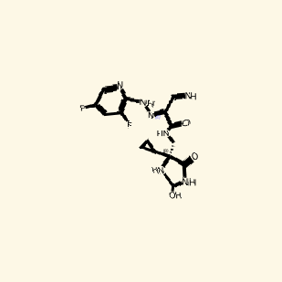 N=C/C(=N\Nc1ncc(F)cc1F)C(=O)NC[C@@]1(C2CC2)NC(O)NC1=O